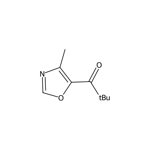 Cc1ncoc1C(=O)C(C)(C)C